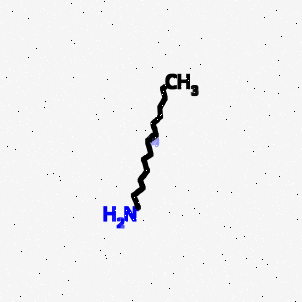 CCCCCC/C=C/CCCCCCCN